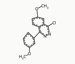 COc1cccc(-c2nnc(Cl)c3cc(OC)ccc23)c1